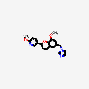 COc1ccc(C2CCc3cc(Cn4ccnc4)cc(OC)c3O2)cn1